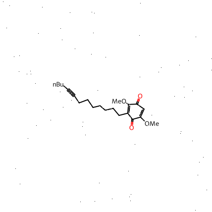 CCCCC#CCCCCCCCC1=C(OC)C(=O)C=C(OC)C1=O